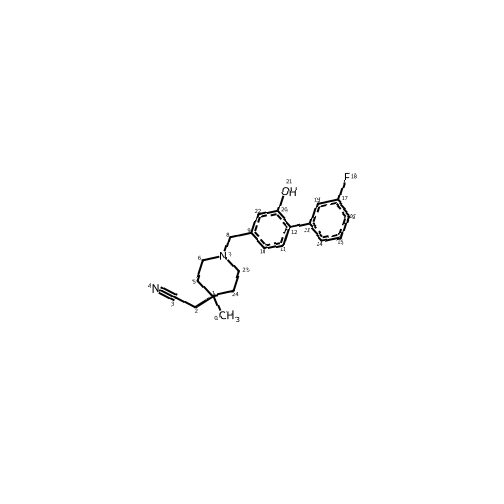 CC1(CC#N)CCN(Cc2ccc(-c3cccc(F)c3)c(O)c2)CC1